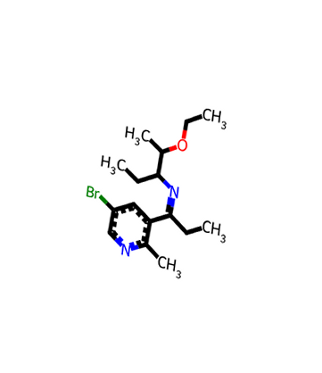 CCOC(C)C(CC)/N=C(/CC)c1cc(Br)cnc1C